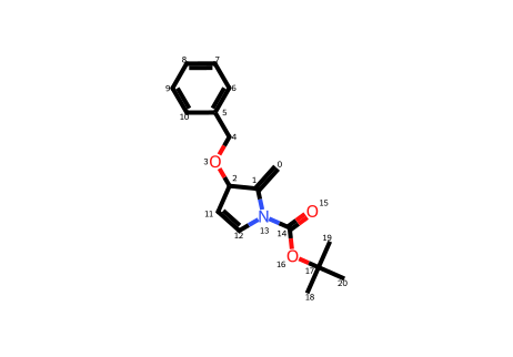 C=C1C(OCc2ccccc2)C=CN1C(=O)OC(C)(C)C